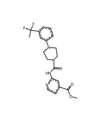 COC(=O)c1ccnc(NC(=S)N2CCN(c3cccc(C(F)(F)F)c3)CC2)c1